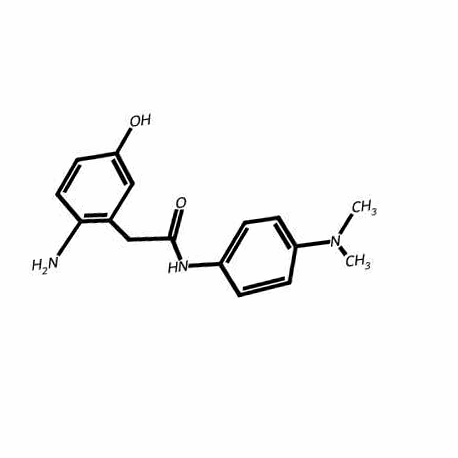 CN(C)c1ccc(NC(=O)Cc2cc(O)ccc2N)cc1